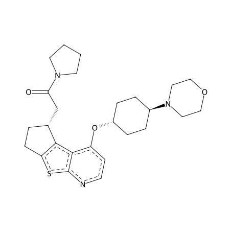 O=C(C[C@H]1CCc2sc3nccc(O[C@H]4CC[C@H](N5CCOCC5)CC4)c3c21)N1CCCC1